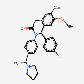 CCC(C)Oc1cc2c(cc1OC)CC(=O)N(c1ccc(C(C)N3CCCC3)cc1)C2c1ccc(Cl)cc1